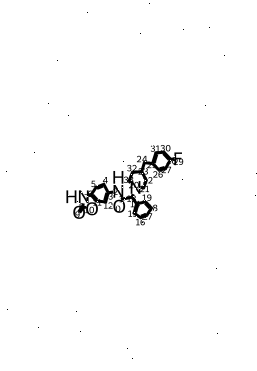 O=C(Nc1ccc2[nH]c(=O)oc2c1)C(c1ccccc1)N1CCC(Cc2ccc(F)cc2)CC1